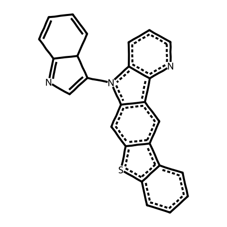 C1=CC2=NC=C(n3c4cc5sc6ccccc6c5cc4c4ncccc43)C2C=C1